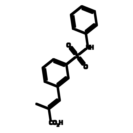 C/C(=C\c1cccc(S(=O)(=O)Nc2ccccc2)c1)C(=O)O